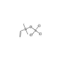 C=C[Si](C)(C)O[Si](Cl)(Cl)Cl